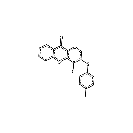 Cc1ccc(Sc2ccc3c(=O)c4ccccc4sc3c2Cl)cc1